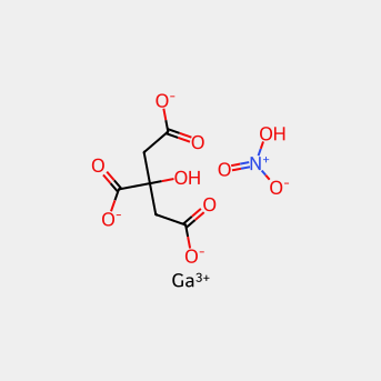 O=C([O-])CC(O)(CC(=O)[O-])C(=O)[O-].O=[N+]([O-])O.[Ga+3]